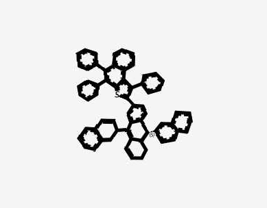 C1=CC2=C(C3C=Cc4ccccc4C3)c3cc(-c4sc5c(-c6ccccc6)c(-c6ccccc6)c6ccccc6c5c4-c4ccccc4)ccc3[C@H](c3ccc4ccccc4c3)C2CC1